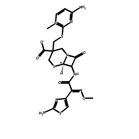 CON=C(C(=O)NC1C(=O)N2CC(CSc3nc(N)cc[n+]3C)(C(=O)[O-])CS[C@H]12)c1csc(N)n1